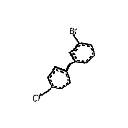 Clc1ccc(-c2cccc(Br)c2)cc1